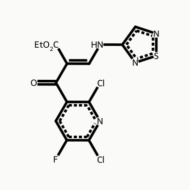 CCOC(=O)C(=CNc1cnsn1)C(=O)c1cc(F)c(Cl)nc1Cl